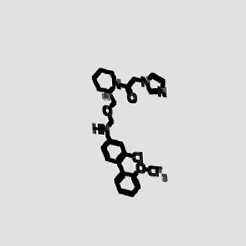 O=C(Cn1ccnc1)N1CCCC[C@@H]1COCNc1ccc(-c2ccccc2OC(F)(F)F)c(Cl)c1